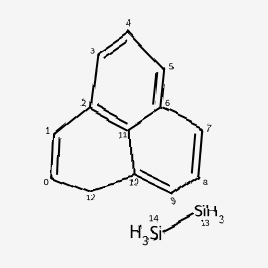 C1=Cc2cccc3cccc(c23)C1.[SiH3][SiH3]